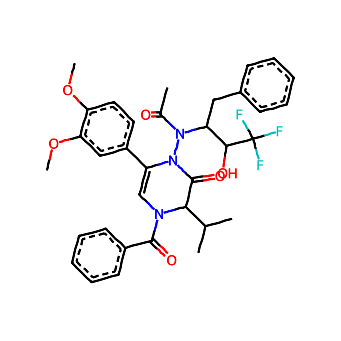 COc1ccc(C2=CN(C(=O)c3ccccc3)C(C(C)C)C(=O)N2N(C(C)=O)C(Cc2ccccc2)C(O)C(F)(F)F)cc1OC